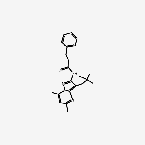 Cc1cc(C)n2nc(NC(=O)CCc3ccccc3)c(CC(C)(C)C)c2n1